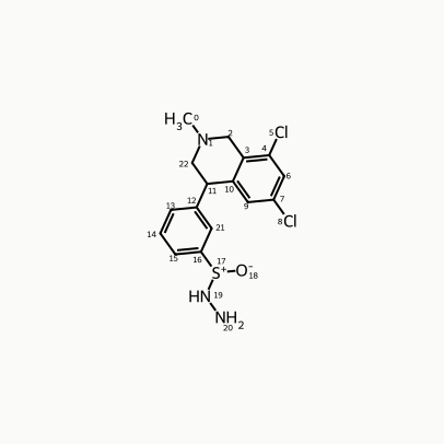 CN1Cc2c(Cl)cc(Cl)cc2C(c2cccc([S+]([O-])NN)c2)C1